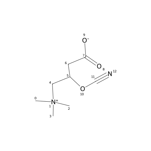 C[N+](C)(C)CC(CC(=O)[O-])OC#N